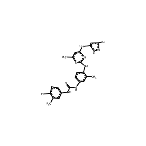 Cc1cc(Nc2cc(Cl)n[nH]2)nc(Nc2ccc(NC(=O)Nc3ccc(Cl)c(C(F)(F)F)c3)cc2C)n1